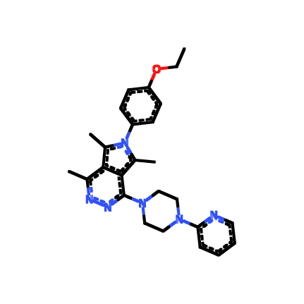 CCOc1ccc(-n2c(C)c3c(C)nnc(N4CCN(c5ccccn5)CC4)c3c2C)cc1